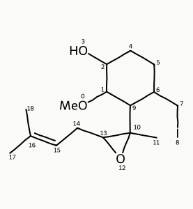 COC1C(O)CCC(CI)C1C1(C)OC1CC=C(C)C